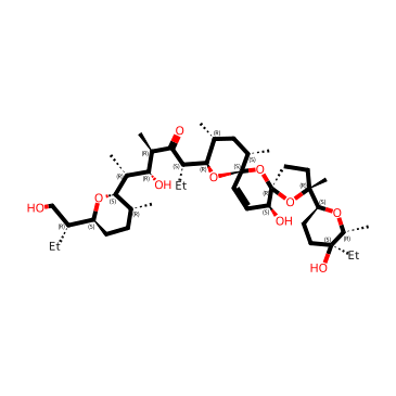 CC[C@H](CO)[C@@H]1CC[C@@H](C)[C@@H]([C@H](C)[C@@H](O)[C@@H](C)C(=O)[C@@H](CC)[C@@H]2O[C@@]3(C=C[C@H](O)[C@@]4(CC[C@](C)([C@@H]5CC[C@@](O)(CC)[C@@H](C)O5)O4)O3)[C@@H](C)C[C@H]2C)O1